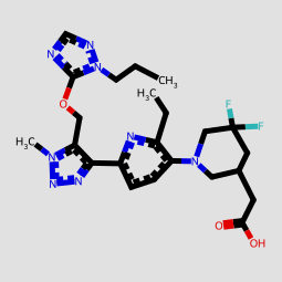 CCCn1ncnc1OCc1c(-c2ccc(N3CC(CC(=O)O)CC(F)(F)C3)c(CC)n2)nnn1C